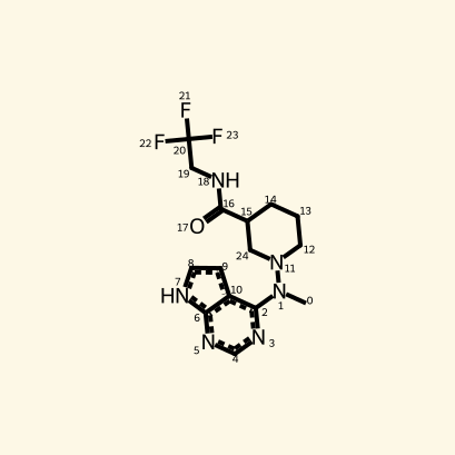 CN(c1ncnc2[nH]ccc12)N1CCCC(C(=O)NCC(F)(F)F)C1